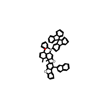 CC1C=CC2(C)C3=C1C1(C)C(=CC3(C)N(c3ccc4c(c3)C3(c5ccccc5-c5ccccc53)c3ccccc3-4)c3ccccc32)Oc2c1cc1oc3ccccc3c1c2-c1ccc2ccccc2c1